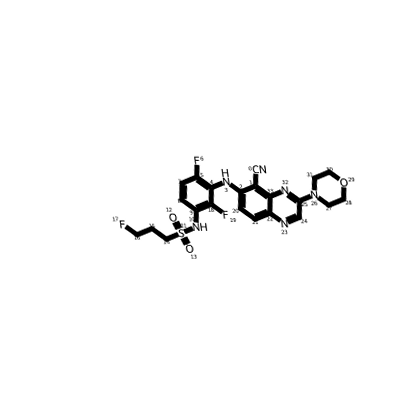 N#Cc1c(Nc2c(F)ccc(NS(=O)(=O)CCCF)c2F)ccc2ncc(N3CCOCC3)nc12